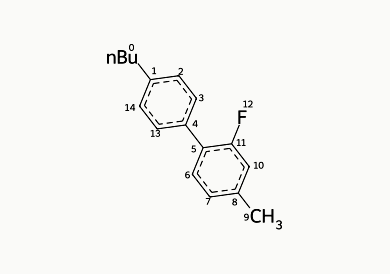 CCCCc1ccc(-c2ccc(C)cc2F)cc1